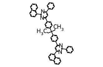 CCC(CC)(c1ccc(-c2cc(-c3cccc4ccccc34)nc(-c3ccccc3)n2)cc1)c1ccc(-c2cc(-c3ccccc3)nc(-c3cccc4ccccc34)n2)cc1